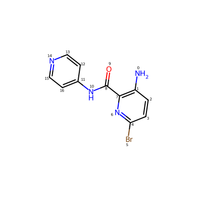 Nc1ccc(Br)nc1C(=O)Nc1ccncc1